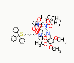 COc1cc(OC)c(OC)cc1CN(CCN(C)C(=O)OC(C)(C)C)C(=O)[C@H](CC(=O)ON1C(=O)CCC1=O)N(C)C(=O)CCCCCSC(c1ccccc1)(c1ccccc1)c1ccccc1